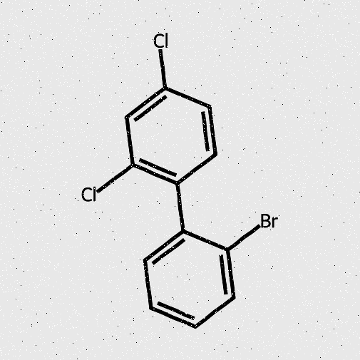 Clc1ccc(-c2ccccc2Br)c(Cl)c1